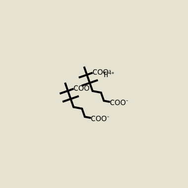 CC(C)(CCCC(=O)[O-])C(C)(C)C(=O)[O-].CC(C)(CCCC(=O)[O-])C(C)(C)C(=O)[O-].[Ti+4]